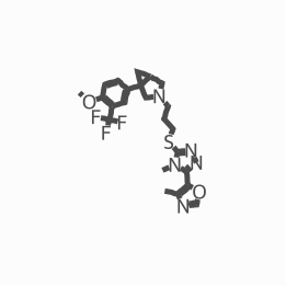 COc1ccc(C23CC2CN(CCCSc2nnc(-c4ocnc4C)n2C)C3)cc1C(F)(F)F